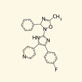 CC1=NC(c2ccccc2)N(c2nc(-c3ccc(F)cc3)c(-c3ccncc3)[nH]2)O1